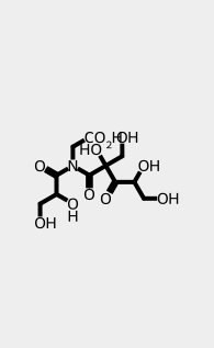 O=C(O)CN(C(=O)C(O)CO)C(=O)C(O)(CO)C(=O)C(O)CO